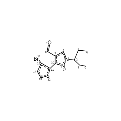 CCC(CC)n1cc(C=O)c(-c2sccc2Br)n1